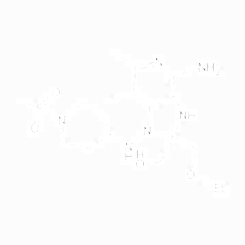 CCOCC1(CO)Nc2c(N)nc(C)c(C)c2N1NC1CCN(S(C)(=O)=O)CC1